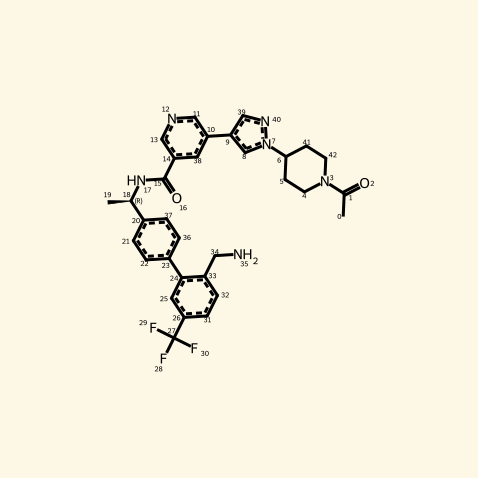 CC(=O)N1CCC(n2cc(-c3cncc(C(=O)N[C@H](C)c4ccc(-c5cc(C(F)(F)F)ccc5CN)cc4)c3)cn2)CC1